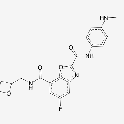 CNc1ccc(NC(=O)c2nc3cc(F)cc(C(=O)NCC4CCO4)c3o2)cc1